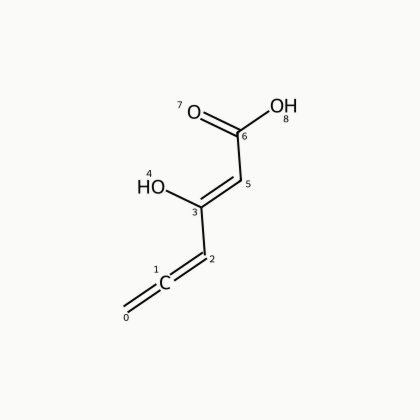 C=C=CC(O)=CC(=O)O